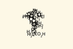 CC(C)C1=C2[C@H]3CC[C@@H]4[C@@]5(C)CC[C@H](OC(=O)CC(C)(C)C(=O)O)C(C)(C)[C@@H]5CC[C@@]4(C)[C@]3(C)CC[C@@]2(Cc2nnc(-c3ccc(Cl)cc3)o2)CC1